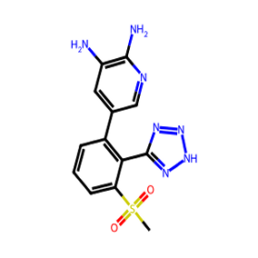 CS(=O)(=O)c1cccc(-c2cnc(N)c(N)c2)c1-c1nn[nH]n1